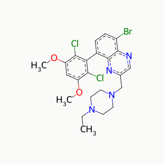 CCN1CCN(Cc2cnc3c(Br)ccc(-c4c(Cl)c(OC)cc(OC)c4Cl)c3n2)CC1